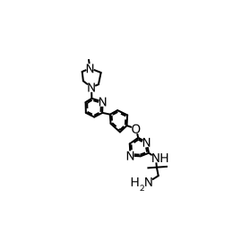 CN1CCN(c2cccc(-c3ccc(Oc4cncc(NC(C)(C)CN)n4)cc3)n2)CC1